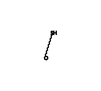 SCCCCCCCCCCCCCCc1ccccc1